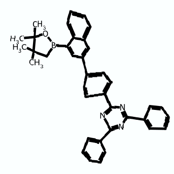 CC1(C)CB(c2cc(-c3ccc(-c4nc(-c5ccccc5)nc(-c5ccccc5)n4)cc3)cc3ccccc23)OC1(C)C